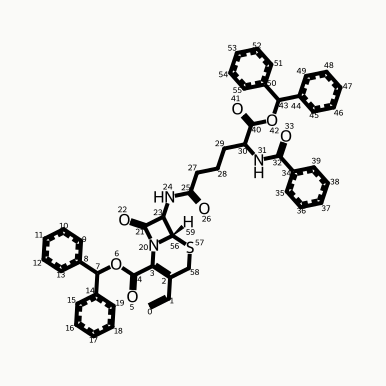 C=CC1=C(C(=O)OC(c2ccccc2)c2ccccc2)N2C(=O)C(NC(=O)CCCC(NC(=O)c3ccccc3)C(=O)OC(c3ccccc3)c3ccccc3)[C@@H]2SC1